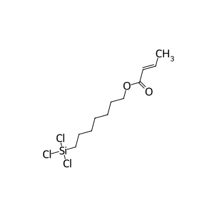 CC=CC(=O)OCCCCCCC[Si](Cl)(Cl)Cl